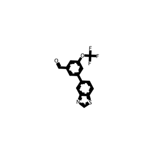 O=Cc1cc(OC(F)(F)F)cc(-c2ccc3scnc3c2)c1